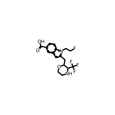 O=C(O)c1ccc2c(c1)cc(CC1OCCNC1C(F)(F)F)n2CCF